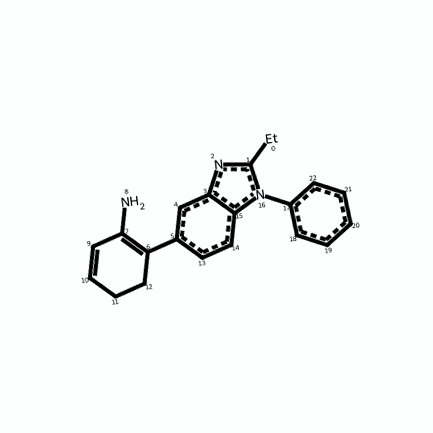 CCc1nc2cc(C3=C(N)C=CCC3)ccc2n1-c1ccccc1